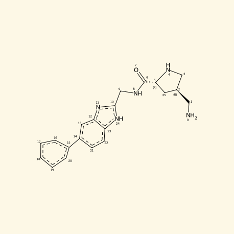 NC[C@@H]1CN[C@@H](C(=O)NCc2nc3cc(-c4ccccc4)ccc3[nH]2)C1